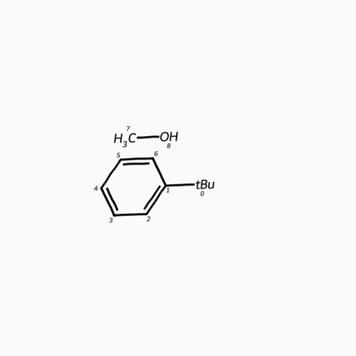 CC(C)(C)c1ccccc1.CO